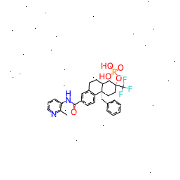 Cc1ncccc1NC(=O)c1ccc2c(c1)CCC1C[C@@](OP(=O)(O)O)(C(F)(F)F)CC[C@@]21Cc1ccccc1